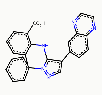 Cc1cccc(C(=O)O)c1Nc1c(-c2ccc3nccnc3c2)cnn1-c1ccccc1